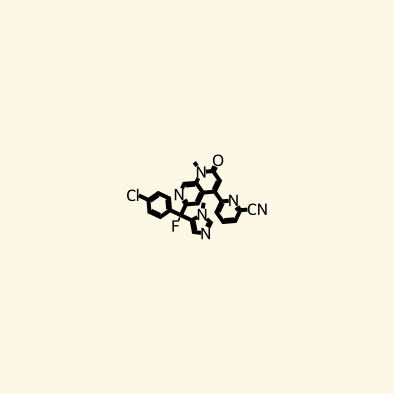 Cn1cncc1[C@@](F)(c1ccc(Cl)cc1)c1cc2c(-c3cccc(C#N)n3)cc(=O)n(C)c2cn1